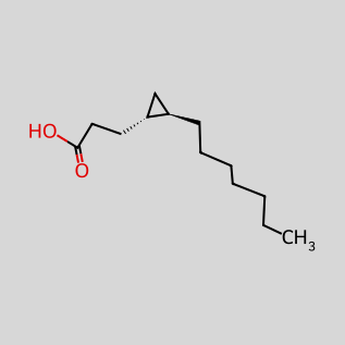 CCCCCCC[C@@H]1C[C@H]1CCC(=O)O